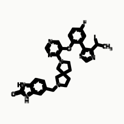 CC(I)c1ncsc1-c1cc(F)ccc1Oc1cncnc1N1CCC2(CCN(Cc3ccc4[nH]c(=O)[nH]c4c3)C2)C1